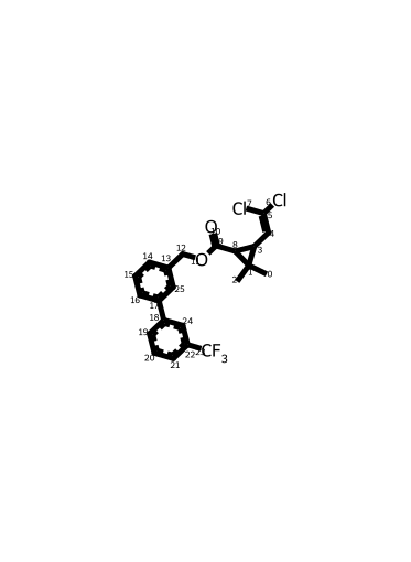 CC1(C)C(C=C(Cl)Cl)C1C(=O)OCc1cccc(-c2cccc(C(F)(F)F)c2)c1